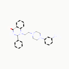 Nc1cccc(N2CCN(CCN3c4ccccc4C(=O)NC3c3ccccc3)CC2)c1